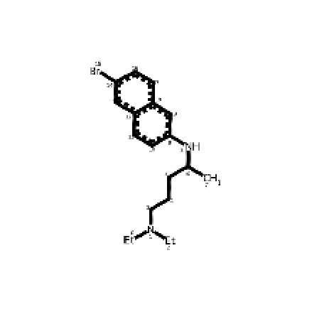 CCN(CC)CCCC(C)Nc1ccc2cc(Br)ccc2c1